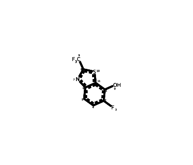 Oc1c(F)ccc2nc(C(F)(F)F)sc12